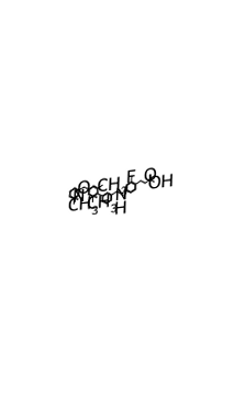 Cc1cccc(Oc2cc(C)c(-c3cccc(CNc4ccc(CCC(=O)O)c(F)c4)c3)c(C)c2)n1